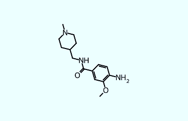 COc1cc(C(=O)NCC2CCN(C)CC2)ccc1N